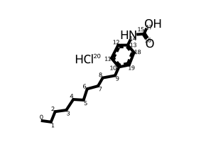 CCCCCCCCCCc1ccc(NC(=O)O)cc1.Cl